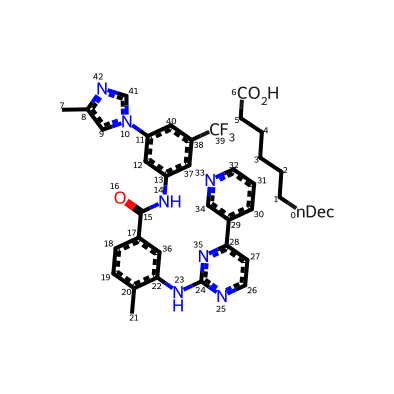 CCCCCCCCCCCCCCCC(=O)O.Cc1cn(-c2cc(NC(=O)c3ccc(C)c(Nc4nccc(-c5cccnc5)n4)c3)cc(C(F)(F)F)c2)cn1